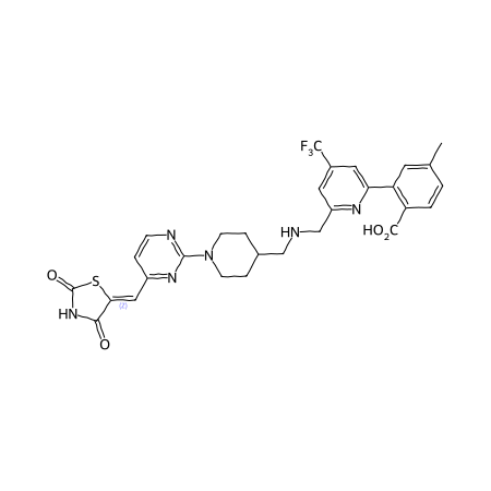 Cc1ccc(C(=O)O)c(-c2cc(C(F)(F)F)cc(CNCC3CCN(c4nccc(/C=C5\SC(=O)NC5=O)n4)CC3)n2)c1